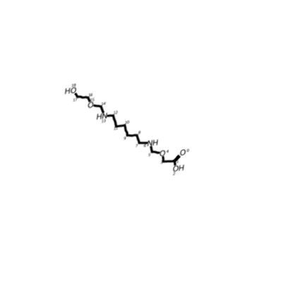 O=C(O)COCNCCCCCCNCOCCO